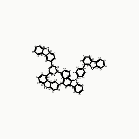 c1ccc(-c2nc(-c3ccc4oc5ccccc5c4c3)nc(-c3cccc4oc5ccc(-c6ccc7c(c6)c6ccccc6n7-c6ccc(-c7cccc8c7oc7ccccc78)cc6)cc5c34)n2)cc1